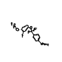 CCCCCc1ccc(C(F)(F)Oc2ccc(OC(F)(F)F)c(F)c2)cc1